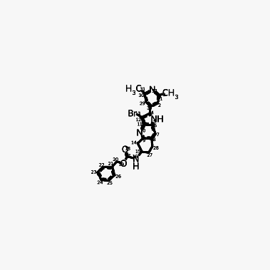 Cc1cc(-c2[nH]c3cc4c(nc3c2Br)CC(NC(=O)OCc2ccccc2)CC4)cc(C)n1